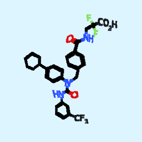 O=C(NCC(F)(F)C(=O)O)c1ccc(CN(C(=O)Nc2cccc(C(F)(F)F)c2)c2ccc(C3CCCCC3)cc2)cc1